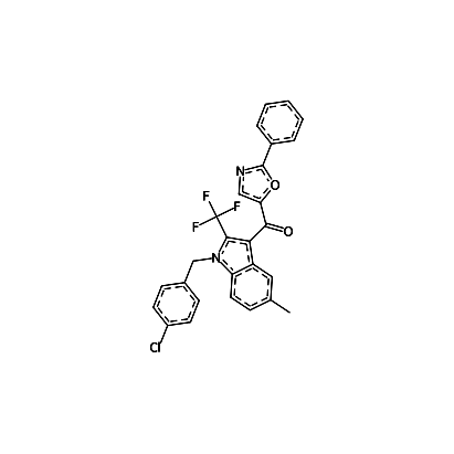 Cc1ccc2c(c1)c(C(=O)c1cnc(-c3ccccc3)o1)c(C(F)(F)F)n2Cc1ccc(Cl)cc1